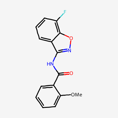 COc1ccccc1C(=O)Nc1noc2c(F)cccc12